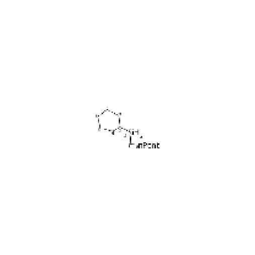 CCCCCC[SiH2][C]1CC[CH]CC1